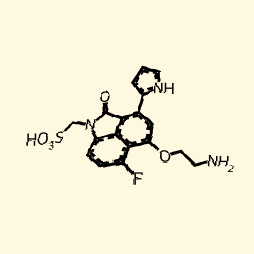 NCCOc1cc(-c2ccc[nH]2)c2c3c(ccc(F)c13)N(CS(=O)(=O)O)C2=O